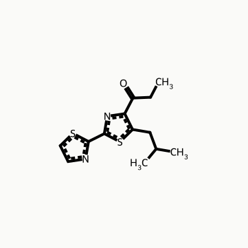 CCC(=O)c1nc(-c2nccs2)sc1CC(C)C